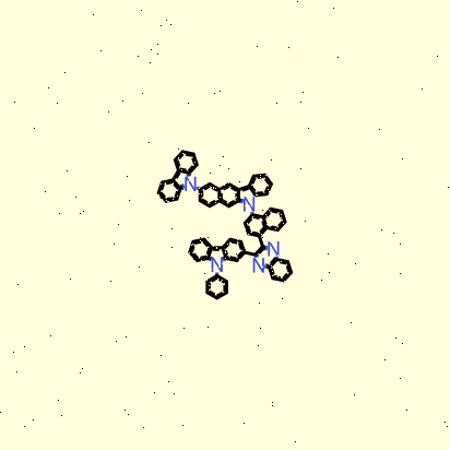 c1ccc(-n2c3ccccc3c3ccc(-c4nc5ccccc5nc4-c4ccc(-n5c6ccccc6c6cc7cc(-n8c9ccccc9c9ccccc98)ccc7cc65)c5ccccc45)cc32)cc1